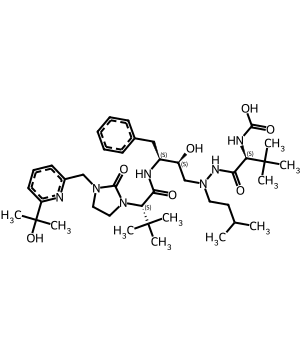 CC(C)CCN(C[C@H](O)[C@H](Cc1ccccc1)NC(=O)[C@@H](N1CCN(Cc2cccc(C(C)(C)O)n2)C1=O)C(C)(C)C)NC(=O)[C@@H](NC(=O)O)C(C)(C)C